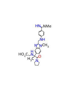 CNC(=N)c1ccc(NCc2nc3cc([C@@](C)(NCC(=O)O)C(=O)N4CCCC4)ccc3n2C)cc1